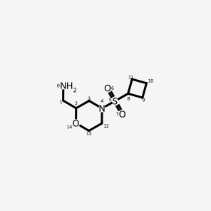 NCC1CN(S(=O)(=O)C2CCC2)CCO1